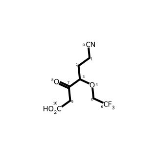 N#CCCC(OCC(F)(F)F)C(=O)CC(=O)O